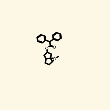 CN1C2CCC3CC(OC(=O)C(c4ccccc4)c4ccccc4)CC321